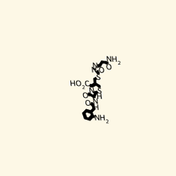 NC(=O)Cc1nnc(SCC2=C(C(=O)O)N3C(=O)C(NC(=O)Cc4ccccc4N)[C@H]3SC2)o1